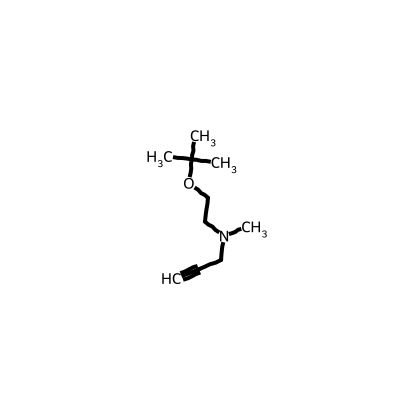 C#CCN(C)CCOC(C)(C)C